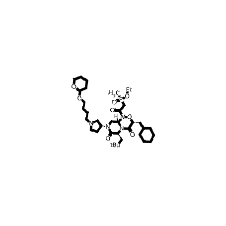 CCOP(C)(=O)CC(=O)N1O[C@H](CC2CCCCC2)C(=O)N2[C@@H]1CN([C@@H]1CCN(CCCCOC3CCCCO3)C1)C(=O)[C@@H]2CC(C)(C)C